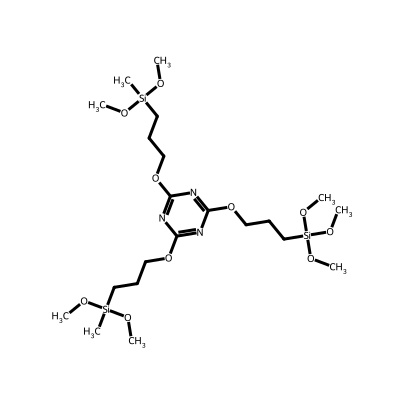 CO[Si](C)(CCCOc1nc(OCCC[Si](C)(OC)OC)nc(OCCC[Si](OC)(OC)OC)n1)OC